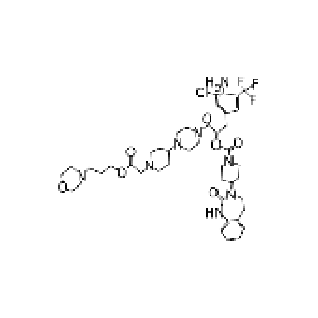 Nc1c(Cl)cc(C[C@@H](OC(=O)N2CCC(N3CCc4ccccc4NC3=O)CC2)C(=O)N2CCN(C3CCN(CC(=O)OCCCN4CCOCC4)CC3)CC2)cc1C(F)(F)F